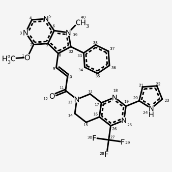 COc1ncnc2c1c(/C=C/C(=O)N1CCc3c(nc(-c4ccc[nH]4)nc3C(F)(F)F)C1)c(-c1ccccc1)n2C